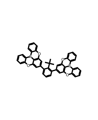 CC(C)(C)c1c(-c2cc3c4c(c2)Oc2ccccc2B4c2ccccc2O3)cccc1-c1cc2c3c(c1)Oc1ccccc1B3c1ccccc1O2